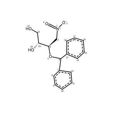 O=[N+]([O-])C[C@@H](OC(c1ccccc1)c1ccccc1)[C@H](O)CO